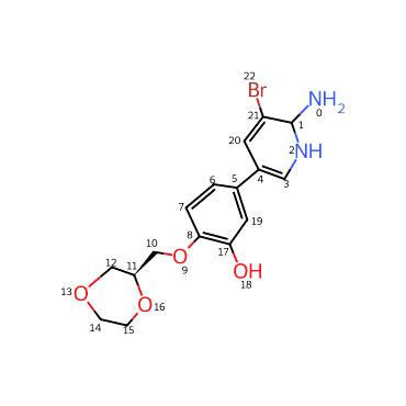 NC1NC=C(c2ccc(OC[C@@H]3COCCO3)c(O)c2)C=C1Br